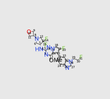 COc1nc(N[C@@H]2CN(C3COC3)CC2(F)F)nn2cc(F)c(-c3ccc4ncn(CCF)c4c3)c12